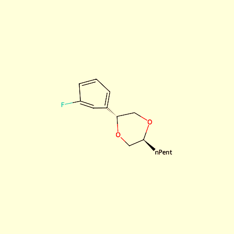 CCCCC[C@H]1CO[C@H](c2cccc(F)c2)CO1